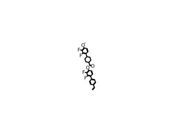 C=Cc1ccc(-c2ccc(OC(=O)C3CCC(c4ccc(OC)c(F)c4F)CC3)c(F)c2F)cc1